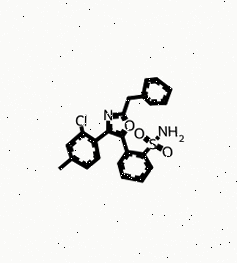 Cc1ccc(-c2nc(Cc3ccccc3)oc2-c2ccccc2S(N)(=O)=O)c(Cl)c1